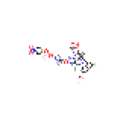 COCOc1cc(-c2ncc3c(N4CCC[C@@](C)(O)C4)nc(OC[C@@]45CCCN4[C@H](COC(=O)Oc4ccc([N+](=O)[O-])cc4)CC5)nc3c2F)c2c(C#C[Si](C(C)C)(C(C)C)C(C)C)cc(F)cc2c1